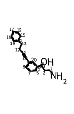 NCC[C@@H](O)c1cccc(C#CCCc2ccccc2)c1